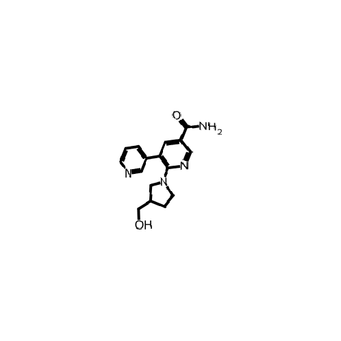 NC(=O)c1cnc(N2CCC(CO)C2)c(-c2cccnc2)c1